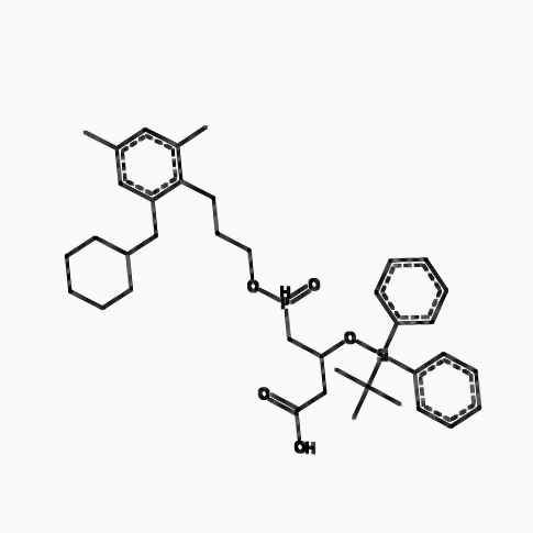 Cc1cc(C)c(CCCO[PH](=O)CC(CC(=O)O)O[Si](c2ccccc2)(c2ccccc2)C(C)(C)C)c(CC2CCCCC2)c1